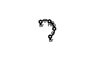 Brc1cccc(COCc2ccc(OBOc3ccc(COCc4cccc(Br)c4)cc3)cc2)c1